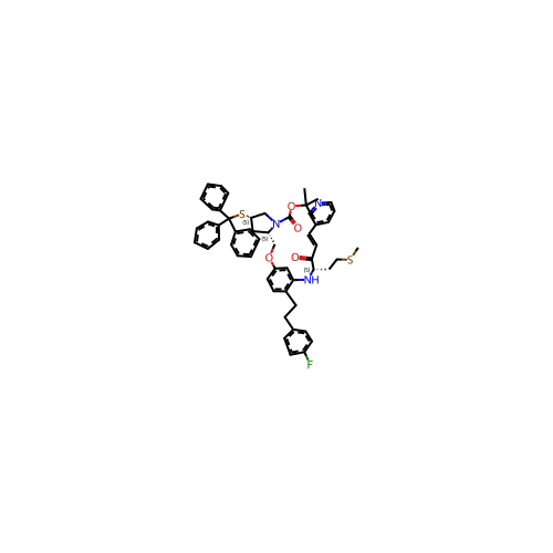 CSCC[C@H](Nc1cc(OC[C@@H]2C[C@H](SC(c3ccccc3)(c3ccccc3)c3ccccc3)CN2C(=O)OC(C)(C)C)ccc1CCc1ccc(F)cc1)C(=O)C=Cc1cccnc1